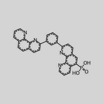 O=P(O)(O)c1cc2ccc(-c3cccc(-c4ccc5ccc6cccnc6c5n4)c3)nc2c2ncccc12